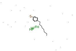 CCCCCCCCc1ccc([S])cc1.F.F.F